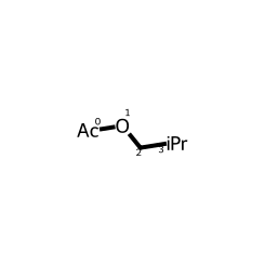 [CH2]C(=O)OCC(C)C